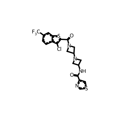 O=C(NC1CN(C2CN(C(=O)c3sc4cc(C(F)(F)F)ccc4c3Cl)C2)C1)c1cscn1